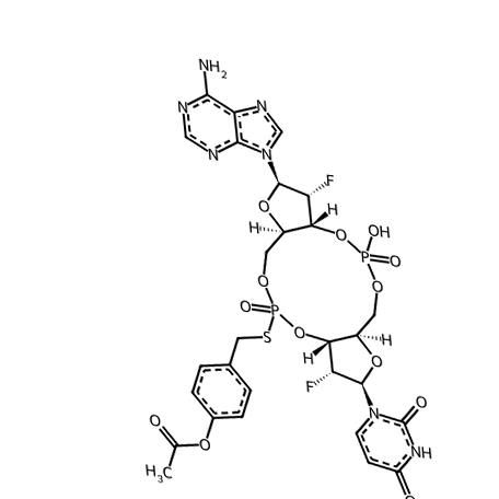 CC(=O)Oc1ccc(CSP2(=O)OC[C@H]3O[C@@H](n4cnc5c(N)ncnc54)[C@H](F)[C@@H]3OP(=O)(O)OC[C@H]3O[C@@H](n4ccc(=O)[nH]c4=O)[C@H](F)[C@@H]3O2)cc1